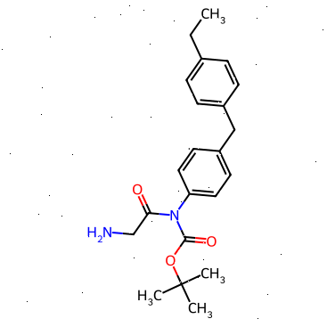 CCc1ccc(Cc2[c]cc(N(C(=O)CN)C(=O)OC(C)(C)C)cc2)cc1